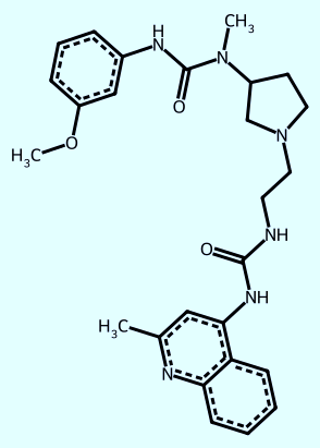 COc1cccc(NC(=O)N(C)C2CCN(CCNC(=O)Nc3cc(C)nc4ccccc34)C2)c1